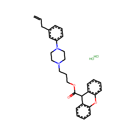 C=CCc1cccc(N2CCN(CCCOC(=O)C3c4ccccc4Oc4ccccc43)CC2)c1.Cl.Cl